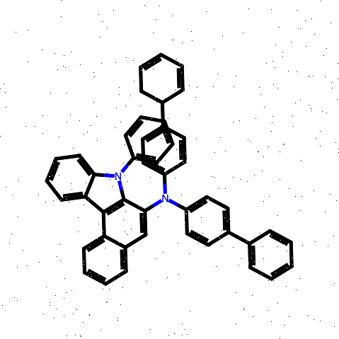 C1=CCC(c2ccc(N(c3ccc(-c4ccccc4)cc3)c3cc4ccccc4c4c5ccccc5n(-c5ccccc5)c34)cc2)C=C1